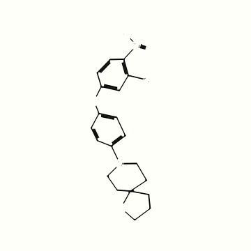 Nc1cc(Sc2ccc(N3CCC4(CCCO4)CC3)cc2)ccc1[N+](=O)[O-]